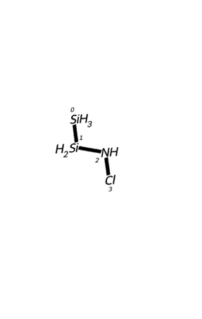 [SiH3][SiH2]NCl